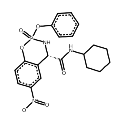 O=C(NC1CCCCC1)[C@H]1NP(=O)(Oc2ccccc2)Oc2ccc([N+](=O)[O-])cc21